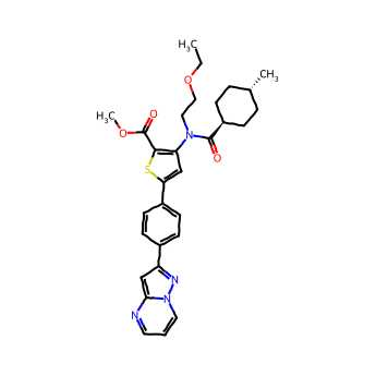 CCOCCN(c1cc(-c2ccc(-c3cc4ncccn4n3)cc2)sc1C(=O)OC)C(=O)[C@H]1CC[C@H](C)CC1